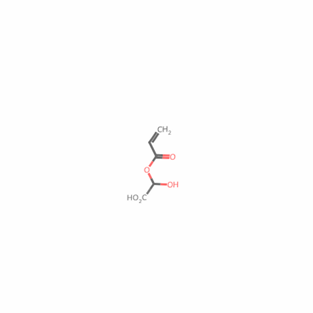 C=CC(=O)OC(O)C(=O)O